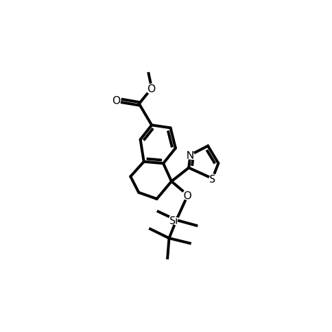 COC(=O)c1ccc2c(c1)CCCC2(O[Si](C)(C)C(C)(C)C)c1nccs1